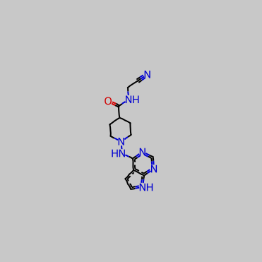 N#CCNC(=O)C1CCN(Nc2ncnc3[nH]ccc23)CC1